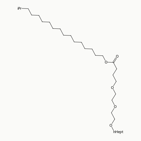 CCCCCCCOCCOCCOCCCC(=O)OCCCCCCCCCCCCCCCC(C)C